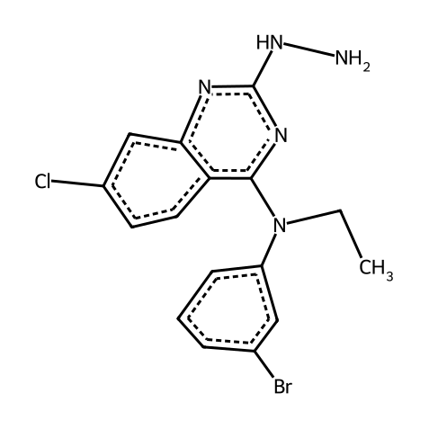 CCN(c1cccc(Br)c1)c1nc(NN)nc2cc(Cl)ccc12